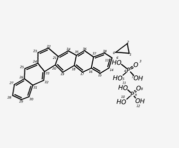 C1CC1.O=P(O)(O)O.O=P(O)(O)O.c1ccc2cc3cc4c(ccc5cc6ccccc6cc54)cc3cc2c1